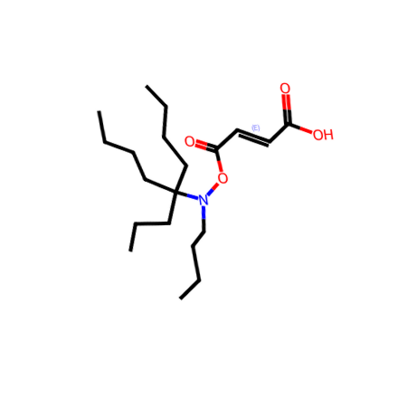 CCCCN(OC(=O)/C=C/C(=O)O)C(CCC)(CCCC)CCCC